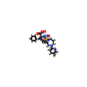 C[C@@H]1[C@H](c2ccccc2)[C@]1(NS(=O)(=O)N1CCCN(c2ccc(F)cn2)CC1)C(=O)O